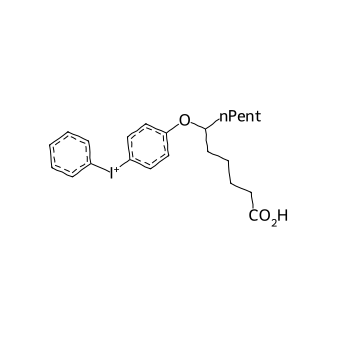 CCCCCC(CCCCC(=O)O)Oc1ccc([I+]c2ccccc2)cc1